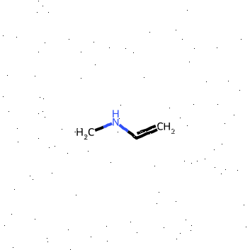 [CH2]NC=C